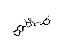 O=C(NCc1cccc(Br)c1)O[C@]1(O)CCN(c2ccc3ccccc3c2)C1=O